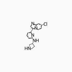 Clc1ccn2c(-c3cccc(NC4CCNC4)n3)cnc2c1